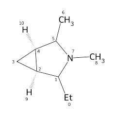 CCC1[C@H]2C[C@H]2C(C)N1C